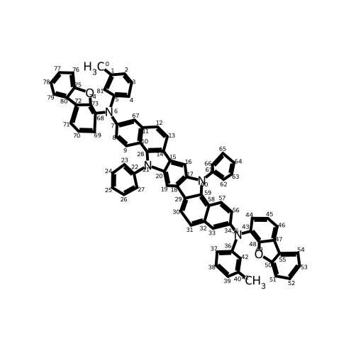 Cc1cccc(N(c2ccc3c(ccc4c5cc6c(cc5n(-c5ccccc5)c34)c3ccc4cc(N(c5cccc(C)c5)c5cccc7c5oc5ccccc57)ccc4c3n6-c3ccccc3)c2)c2cccc3c2oc2ccccc23)c1